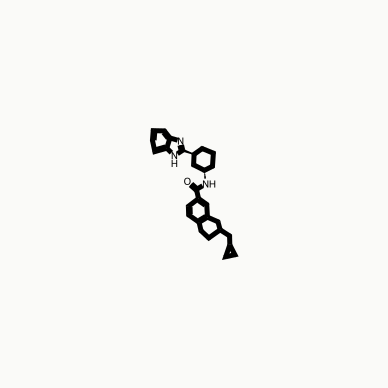 O=C(N[C@H]1CCC[C@H](c2nc3ccccc3[nH]2)C1)c1ccc2c(c1)CC(CC1CC1)CC2